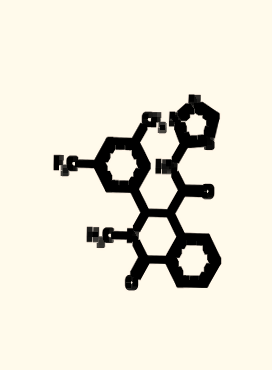 CN1C(=O)c2ccccc2C(C(=O)Nc2nncs2)C1c1cc(C(F)(F)F)cc(C(F)(F)F)c1